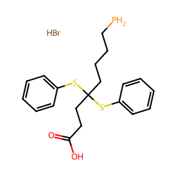 Br.O=C(O)CCC(CCCCP)(Sc1ccccc1)Sc1ccccc1